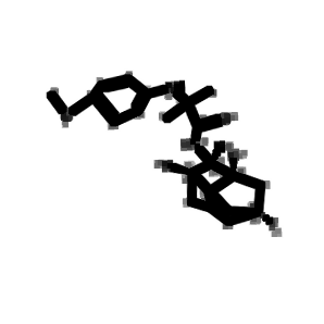 COc1ccc(NC(C)(C)C(=O)N[C@H]2[C@@H]3CC4C[C@H]2C[C@](F)(C4)C3)cc1